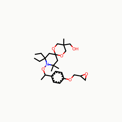 CCC1(CC)CC2(CC(C)(C)N1OC(C)c1ccc(OCC3CO3)cc1)OCC(C)(CO)CO2